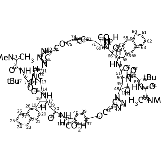 CN[C@@H](C)C(=O)N[C@H](C(=O)N1C[C@@H]2C[C@H]1C(=O)N[C@@H](Cc1ccc3ccccc3c1)CC(=O)N[C@H](C(=O)O)c1ccc(cc1)OCc1cn(nn1)[C@H]1C[C@@H](C(=O)N[C@@H](Cc3ccc4ccccc4c3)C(=O)N[C@H](C(=O)O)Cc3ccc(cc3)OCc3cn2nn3)N(C(=O)[C@@H](NC(=O)[C@H](C)NC)C(C)(C)C)C1)C(C)(C)C